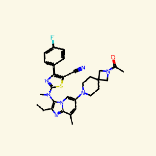 CCc1nc2c(C)cc(N3CCC4(CC3)CN(C(C)=O)C4)cn2c1N(C)c1nc(-c2ccc(F)cc2)c(C#N)s1